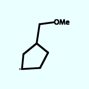 COCC1C[CH]CC1